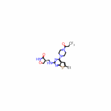 CCc1cc2c(N3CCN(C(=O)CC(F)(F)F)CC3)nc(NC[C@H]3CONC3=O)nc2s1